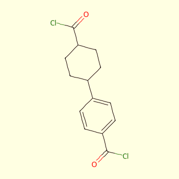 O=C(Cl)c1ccc(C2CCC(C(=O)Cl)CC2)cc1